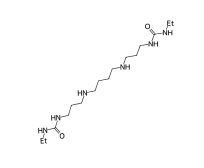 CCNC(=O)NCCCNCCCCNCCCNC(=O)NCC